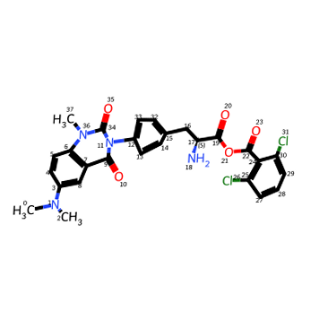 CN(C)c1ccc2c(c1)c(=O)n(-c1ccc(C[C@H](N)C(=O)OC(=O)c3c(Cl)cccc3Cl)cc1)c(=O)n2C